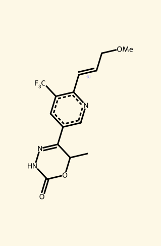 COC/C=C/c1ncc(C2=NNC(=O)OC2C)cc1C(F)(F)F